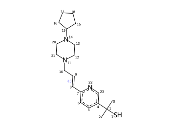 CC(C)(S)c1ccc(/C=C/CN2CCN(C3CCCC3)CC2)nc1